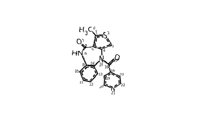 Cc1scc2c1C(=O)Nc1ccccc1N2C(=O)c1ccncc1